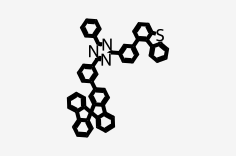 c1ccc(-c2nc(-c3cccc(-c4ccc5c(c4)C4(c6ccccc6-c6ccccc64)c4ccccc4-5)c3)nc(-c3cccc(-c4cccc5sc6ccccc6c45)c3)n2)cc1